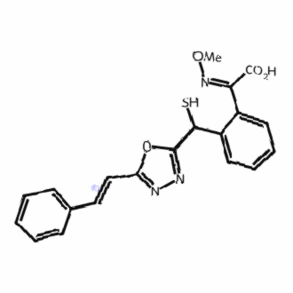 CON=C(C(=O)O)c1ccccc1C(S)c1nnc(/C=C/c2ccccc2)o1